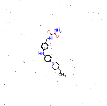 CCC1CCN(c2ccc(Nc3ccc(CNC(=O)C(N)=O)cc3)cc2)CC1